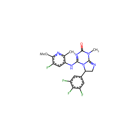 COc1nc(C)c(NC2=NC(=O)N(C)C3=NCC(c4cc(F)c(F)c(F)c4)N23)cc1F